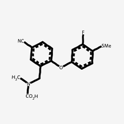 CSc1ccc(Oc2ccc(C#N)cc2CN(C)C(=O)O)cc1F